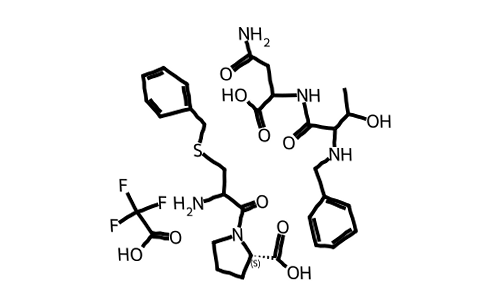 CC(O)C(NCc1ccccc1)C(=O)NC(CC(N)=O)C(=O)O.NC(CSCc1ccccc1)C(=O)N1CCC[C@H]1C(=O)O.O=C(O)C(F)(F)F